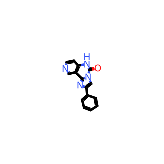 O=c1[nH]c2ccncc2c2nc(-c3ccccc3)cn12